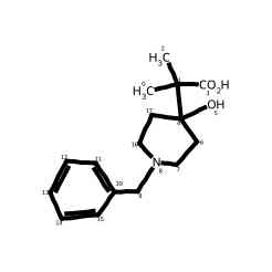 CC(C)(C(=O)O)C1(O)CCN(Cc2ccccc2)CC1